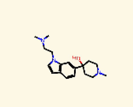 CN(C)CCn1ccc2ccc(C3(O)CCN(C)CC3)cc21